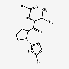 CC(C)[C@H](NC(=O)O)C(=O)N1CCC[C@H]1c1ncc(Br)[nH]1